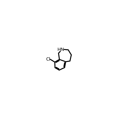 Clc1cccc2c1CNCCC2